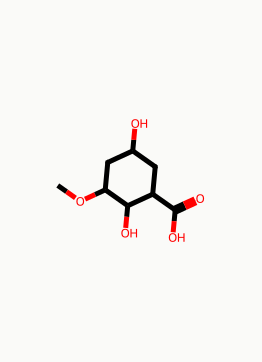 COC1CC(O)CC(C(=O)O)C1O